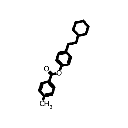 Cc1ccc(C(=O)Oc2ccc(CCC3CC[CH]CC3)cc2)cc1